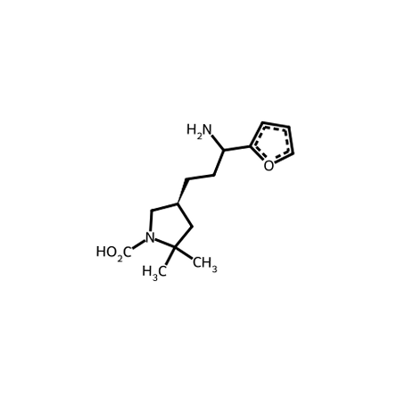 CC1(C)C[C@H](CCC(N)c2ccco2)CN1C(=O)O